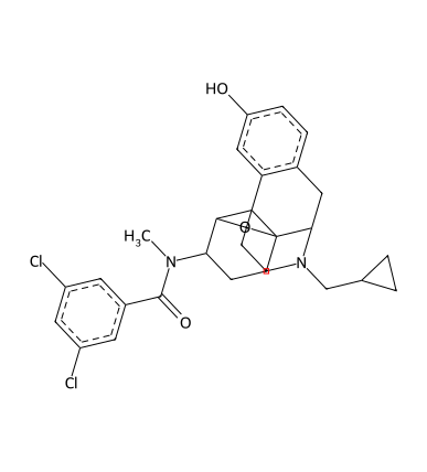 CN(C(=O)c1cc(Cl)cc(Cl)c1)C1CCC23OCC1C21CCN(CC2CC2)C3Cc2ccc(O)cc21